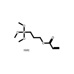 C=CC(=O)OCCC[Si](OC)(OC)OC.[AtH]